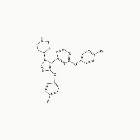 CC(C)c1ccc(Oc2nccc(-c3c(Oc4ccc(F)cc4)ncn3C3CCNCC3)n2)cc1